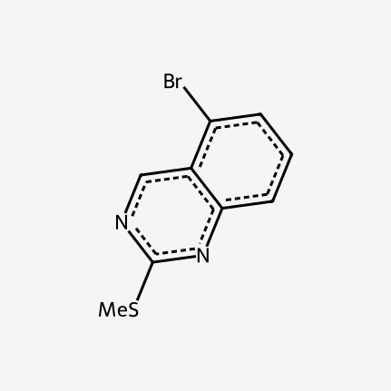 CSc1ncc2c(Br)cccc2n1